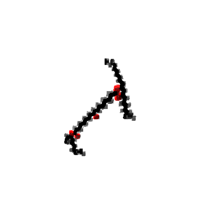 CCCCCCCCC(CCCCCCCC)OC(=O)CCCCCCCC(=O)CCCCCCCC(=O)OC(CC)CCCCC